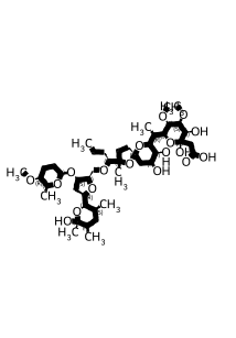 CCC[C@@H](OC[C@@H]1O[C@@H]([C@H]2O[C@](C)(O)[C@H](C)C[C@@H]2C)C[C@@H]1O[C@@H]1CC[C@@H](OC)[C@H](C)O1)[C@]1(C)CC[C@]2(C[C@H](O)[C@@H](O)C([C@@H](C)[C@@H]3O[C@](O)(CC(=O)O)[C@@H](O)[C@H](OC)[C@H]3OC)O2)O1